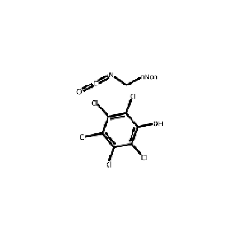 CCCCCCCCCCN=C=O.Oc1c(Cl)c(Cl)c(Cl)c(Cl)c1Cl